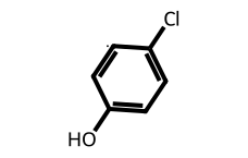 Oc1c[c]c(Cl)cc1